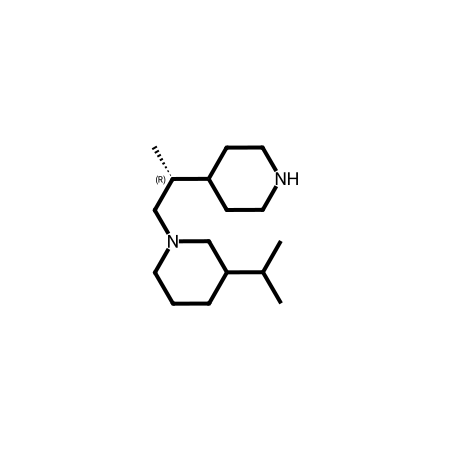 CC(C)C1CCCN(C[C@H](C)C2CCNCC2)C1